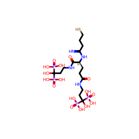 N=C(CCCS)N[C@@H](CCC(=O)NCCC(O)(P(=O)(O)O)P(=O)(O)O)C(=O)NCCC(O)(P(=O)(O)O)P(=O)(O)O